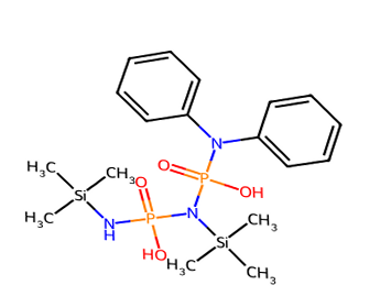 C[Si](C)(C)NP(=O)(O)N([Si](C)(C)C)P(=O)(O)N(c1ccccc1)c1ccccc1